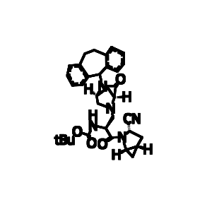 CC(C)(C)OC(=O)N[C@@H](CN1C[C@@H]2C[C@H]1C(=O)N2C1c2ccccc2CCc2ccccc21)C(=O)N1[C@H](C#N)C[C@@H]2C[C@@H]21